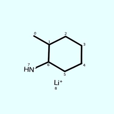 CC1CCCCC1[NH-].[Li+]